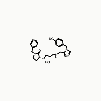 Cl.N#Cc1ccc(Cn2cncc2CNCCCC[C@@H]2CCN(Cc3ccccc3)C2=O)cc1